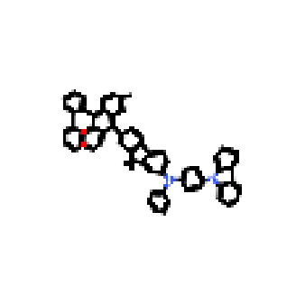 Cc1ccc2c(-c3ccccc3-c3ccccc3)c3ccccc3c(-c3ccc4c(c3)C(C)(C)c3cc(N(c5ccccc5)c5ccc(-n6c7ccccc7c7ccccc76)cc5)ccc3-4)c2c1